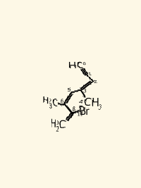 C#C/C=C(C)\C=C(\C)C(=C)Br